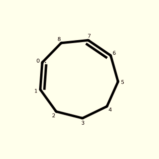 [C]1=CCCCCC=CC1